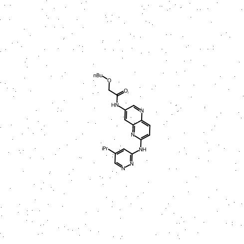 CCCCOCC(=O)Nc1cnc2ccc(Nc3cc(C(C)C)cnn3)nc2c1